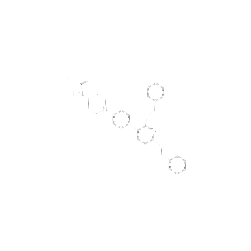 O=C(O)NC1CCN(c2ccc(-c3ccc(OCc4ccccc4)nc3OCc3ccccc3)cc2)CC1